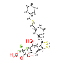 CCC1C=CSS1.O.O=C(O)C(F)(F)F.Oc1ccccc1.c1ccc(CSCc2ccccc2)cc1